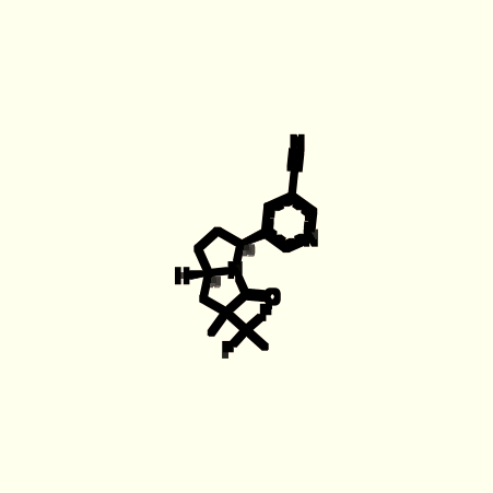 CC(F)(F)C1(C)C[C@@H]2CC[C@@H](c3cncc(C#N)c3)N2C1=O